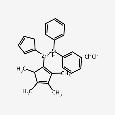 CC1=C(C)C(C)[C]([Zr+2]([C]2=CC=CC2)[SiH](c2ccccc2)c2ccccc2)=C1C.[Cl-].[Cl-]